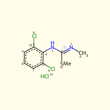 C/N=C(/Nc1c(Cl)cccc1Cl)SC.Cl